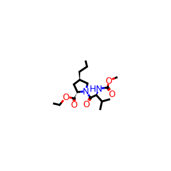 CCC[C@@H]1C[C@@H](C(=O)OCC)N(C(=O)[C@@H](NC(=O)OC)C(C)C)C1